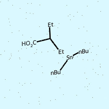 CCC(CC)C(=O)O.CCC[CH2][Sn][CH2]CCC